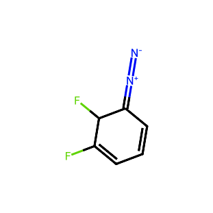 [N-]=[N+]=C1C=CC=C(F)C1F